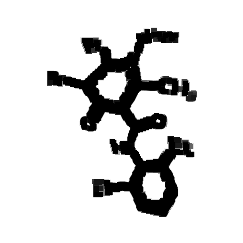 CCCCCCn1c(C)c(C(=O)Nc2c(CC)cccc2CC)c(=O)c(Br)c1CC